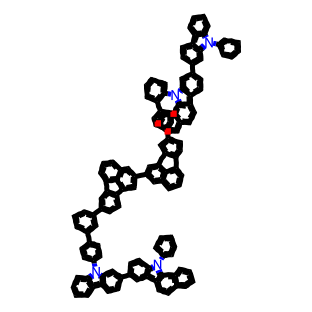 c1ccc(-n2c3ccccc3c3ccc(-c4ccc5c6ccc7ccccc7c6n(-c6ccccc6-c6ccc(-c7ccc8c(c7)-c7cc(-c9cc%10c%11c(cccc%11c9)-c9cc(-c%11cccc(-c%12ccc(-n%13c%14ccccc%14c%14ccc(-c%15ccc%16c(c%15)c%15ccc%17ccccc%17c%15n%16-c%15ccccc%15)cc%14%13)cc%12)c%11)ccc9-%10)cc9cccc-8c79)cc6)c5c4)cc32)cc1